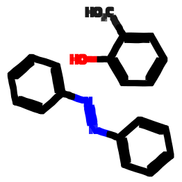 O=C(O)c1ccccc1O.c1ccc(N=Nc2ccccc2)cc1